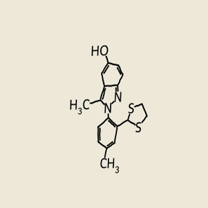 Cc1ccc(-n2nc3ccc(O)cc3c2C)c(C2SCCS2)c1